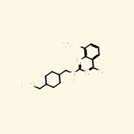 COc1cccc2c(N)nc(NCC3CCC(CN)CC3)nc12